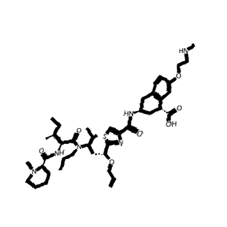 CCCO[C@H](CC(C(C)C)N(CCC)C(=O)[C@@H](NC(=O)[C@H]1CCCCN1C)[C@@H](C)CC)c1nc(C(=O)N[C@H]2Cc3ccc(OCCNC)cc3[C@H](C(=O)O)C2)cs1